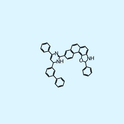 C1=C(c2ccccc2)N=C(c2ccc3c(ccc4ccc5c(c43)OC(c3ccccc3)N5)c2)NC1c1cccc(-c2ccccc2)c1